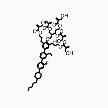 C=C(C)C(=O)OCC(COc1c(CCCOC(=O)C(=C)CO)cc(-c2ccc(-c3ccc(C4CCC(CCCCC)CC4)cc3F)cc2CC)cc1CCCOC(=O)C(=C)CO)C(CCOC(=O)C(=C)CO)OC(=O)C(=C)CO